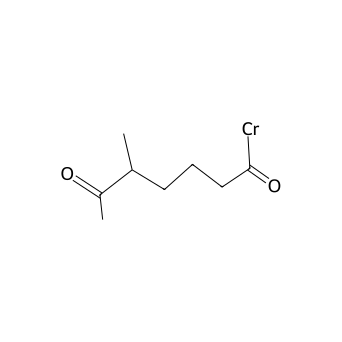 CC(=O)C(C)CCC[C](=O)[Cr]